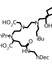 CCCCCCCCCCCNC(=O)CCC(C(=O)O)N(CCC)CCN(CCN(CCC(C)CC)CC(O)=C1CCC1)CC(=O)O